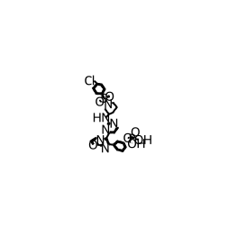 O=P(O)(O)Oc1cccc(-c2nc3occn3c2-c2ccnc(NC3CCCN(S(=O)(=O)c4ccc(Cl)cc4)C3)n2)c1